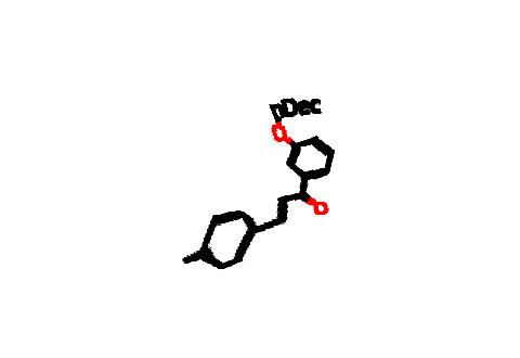 CCCCCCCCCCOc1cccc(C(=O)C=Cc2ccc(C)cc2)c1